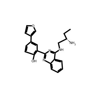 CC[C@H](N)CNc1nc(-c2cc(-c3ccoc3)ccc2O)nc2ccccc12